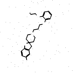 Cl.OCCOc1ccccc1OC[C@@H](O)CN1CCC2(CC1)Cc1cc(Cl)ccc1O2